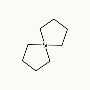 C1CC[Si]2(C1)CCCC2